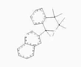 CC1(C)c2ccccc2C2(c3cnc4ccccc4c3)ON2C1(C)C